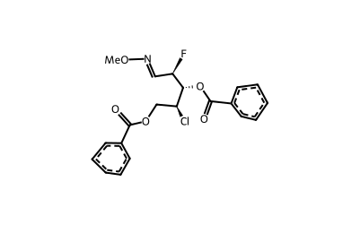 CON=C[C@@H](F)[C@H](OC(=O)c1ccccc1)[C@@H](Cl)COC(=O)c1ccccc1